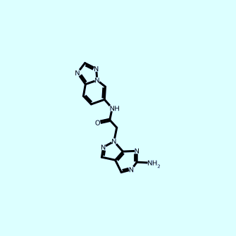 Nc1ncc2cnn(CC(=O)Nc3ccc4ncnn4c3)c2n1